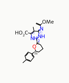 C=C(/N=C(NC[C@H]1CCC[C@@H](c2ccc(C)cc2)O1)\C(C)=C(/N)C(=O)O)OC